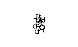 CCC(C)(C)NS(=O)(=O)c1ccc(C)c(Cl)c1Cl